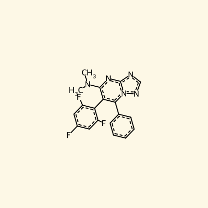 CN(C)c1nc2ncnn2c(-c2ccccc2)c1-c1c(F)cc(F)cc1F